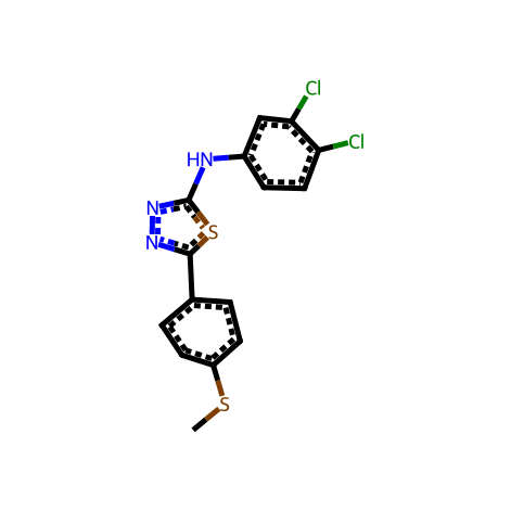 CSc1ccc(-c2nnc(Nc3ccc(Cl)c(Cl)c3)s2)cc1